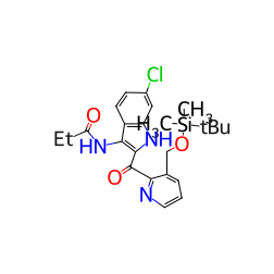 CCC(=O)Nc1c(C(=O)c2ncccc2CO[Si](C)(C)C(C)(C)C)[nH]c2cc(Cl)ccc12